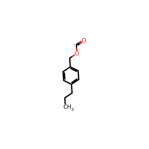 CCCc1ccc(CO[C]=O)cc1